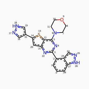 c1cc(-c2nc(N3CCOCC3)c3sc(-c4cn[nH]c4)cc3n2)c2cn[nH]c2c1